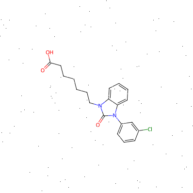 O=C(O)CCCCCCn1c(=O)n(-c2cccc(Cl)c2)c2ccccc21